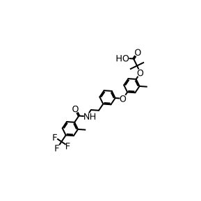 Cc1cc(Oc2cccc(CCNC(=O)c3ccc(C(F)(F)F)cc3C)c2)ccc1OC(C)(C)C(=O)O